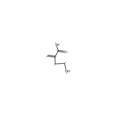 C=C(CCO)C(=O)S